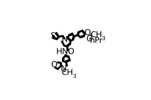 CCCOC(C)Oc1ccc(-c2ccc3c(c2)C=C(C(=O)Nc2ccc(CN(C)C4CCOCC4)cc2)CCN3Cc2ccsc2)cc1